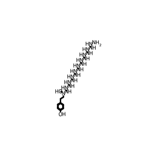 NNNNNNNNNNNNNNNNNNNN(O)CCc1ccc(O)cc1